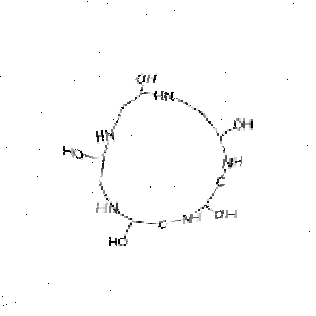 OC1CNC(O)CNC(O)CNC(O)CNC(O)CN1